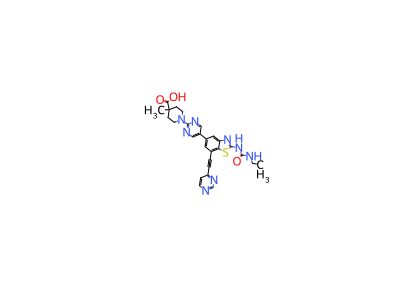 CCNC(=O)Nc1nc2cc(-c3cnc(N4CCC(C)(C(=O)O)CC4)nc3)cc(C#Cc3ccncn3)c2s1